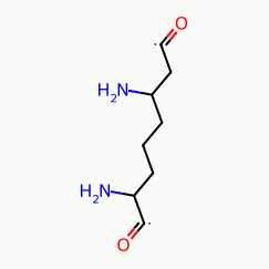 NC([C]=O)CCCC(N)C[C]=O